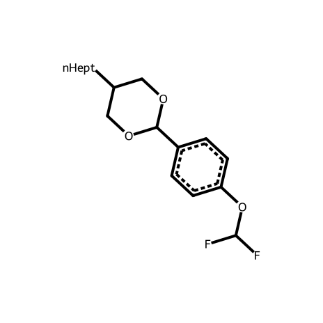 CCCCCCCC1COC(c2ccc(OC(F)F)cc2)OC1